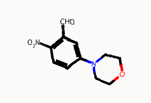 O=Cc1cc(N2CCOCC2)ccc1[N+](=O)[O-]